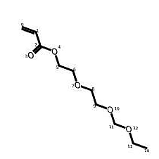 C=CC(=O)OCCOCCOCOCC